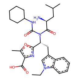 CCn1cc(C[C@H](c2nc(C(=O)O)c(C)o2)N(C(=O)NC2CCCCC2)C(=O)[C@@H](N)CC(C)C)c2ccccc21